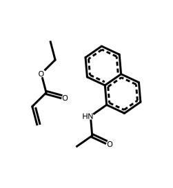 C=CC(=O)OCC.CC(=O)Nc1cccc2ccccc12